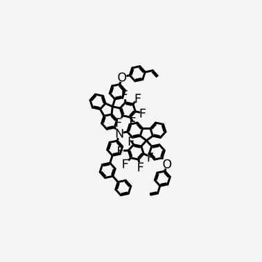 C=Cc1ccc(Oc2ccc(C3(c4c(F)c(F)c(F)c(F)c4F)c4ccccc4-c4ccc(N(c5ccc(-c6cccc(-c7ccccc7)c6)cc5)c5ccc6c(c5)C(c5ccc(Oc7ccc(C=C)cc7)cc5)(c5c(F)c(F)c(F)c(F)c5F)c5ccccc5-6)cc43)cc2)cc1